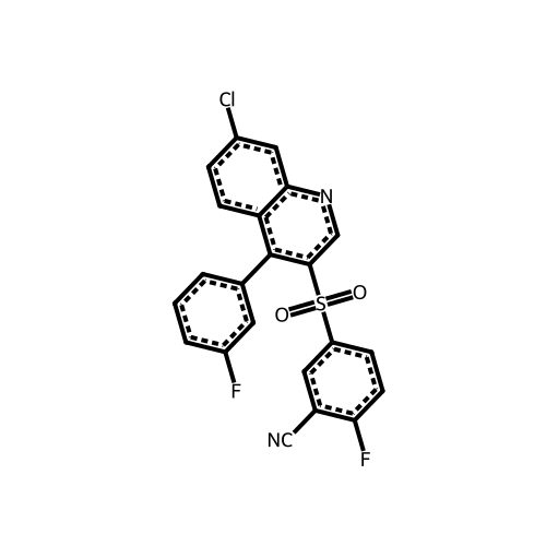 N#Cc1cc(S(=O)(=O)c2cnc3cc(Cl)ccc3c2-c2cccc(F)c2)ccc1F